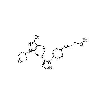 CCOCCOc1ccc(-n2nccc2-c2ccc3c(CC)nn(C4CCOCC4)c3c2)cc1